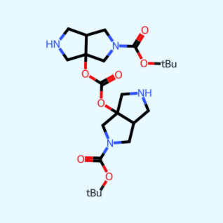 CC(C)(C)OC(=O)N1CC2CNCC2(OC(=O)OC23CNCC2CN(C(=O)OC(C)(C)C)C3)C1